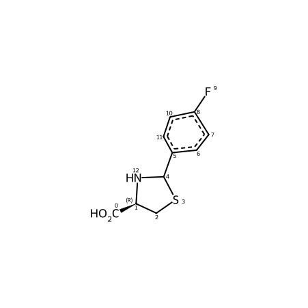 O=C(O)[C@@H]1CSC(c2ccc(F)cc2)N1